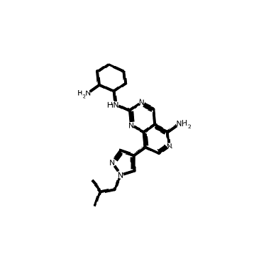 CC(C)Cn1cc(-c2cnc(N)c3cnc(NC4CCCCC4N)nc23)cn1